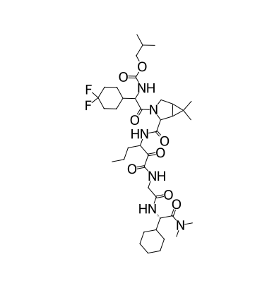 CCCC(NC(=O)C1C2C(CN1C(=O)C(NC(=O)OCC(C)C)C1CCC(F)(F)CC1)C2(C)C)C(=O)C(=O)NCC(=O)N[C@H](C(=O)N(C)C)C1CCCCC1